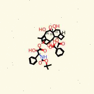 CC(=O)O[C@@]12CC[C@@H]1C[C@H](O)[C@@]1(C)C(=O)[C@H](O)C3=C(C)[C@@H](OC(=O)[C@H](O)[C@@H](NC(=O)OC(C)(C)C)c4ccccc4)C[C@@](O)([C@@H](OC(=O)c4ccccc4)C12)C3(C)C